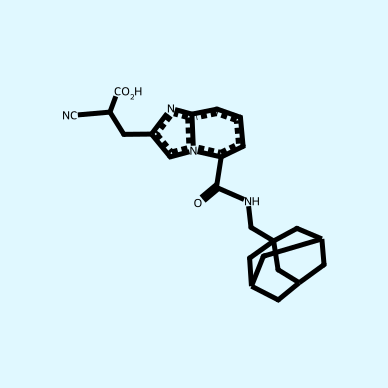 N#CC(Cc1cn2c(C(=O)NCC34CC5CC(CC(C5)C3)C4)cccc2n1)C(=O)O